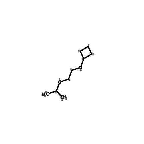 CC(C)OCCOC1CCC1